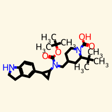 CC(C)(C)OC(=O)N(CC1CCN(C(=O)O)C(C(C)(C)C)C1)C1CC1c1ccc2c(c1)CCN2